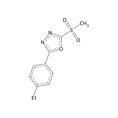 CCc1ccc(-c2nnc(S(C)(=O)=O)o2)cc1